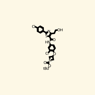 CC(C)(C)OC(=O)N1CC(Oc2ccc(NC(=O)c3sc(-c4ccc(Cl)cc4)nc3CCO)cc2Cl)C1